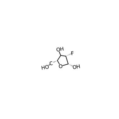 OC[C@H]1O[C@@H](O)[C@@H](F)C1O